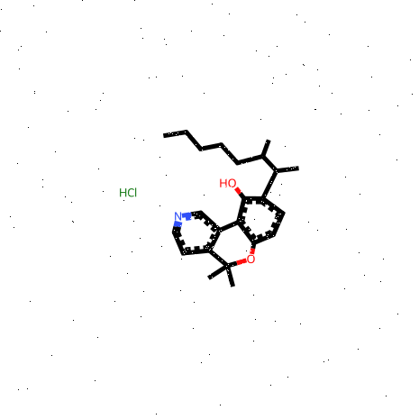 CCCCCC(C)C(C)c1ccc2c(c1O)-c1cnccc1C(C)(C)O2.Cl